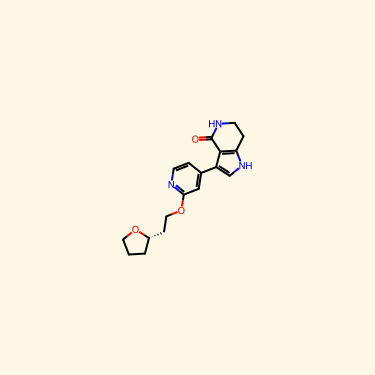 O=C1NCCc2[nH]cc(-c3ccnc(OCC[C@@H]4CCCO4)c3)c21